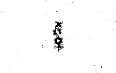 CC(C)(C)CN1CCN(c2ccc(C(F)(F)F)cc2)CC1